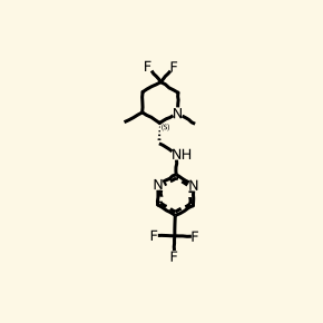 CC1CC(F)(F)CN(C)[C@@H]1CNc1ncc(C(F)(F)F)cn1